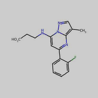 Cc1cnn2c(NCCC(=O)O)cc(-c3ccccc3F)nc12